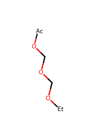 CCOCOCOC(C)=O